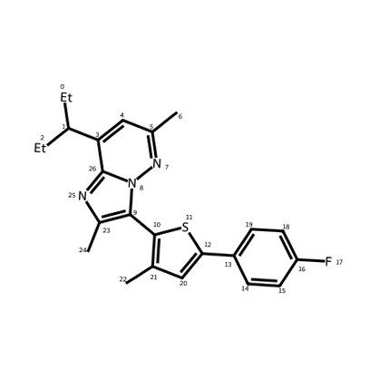 CCC(CC)c1cc(C)nn2c(-c3sc(-c4ccc(F)cc4)cc3C)c(C)nc12